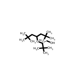 CC(C)(C)CC(CC(C)(C)C)O[C@H](CO)C(C)(C)C